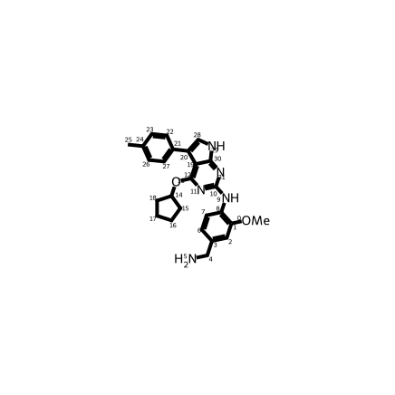 COc1cc(CN)ccc1Nc1nc(OC2CCCC2)c2c(-c3ccc(C)cc3)c[nH]c2n1